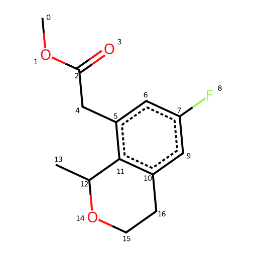 COC(=O)Cc1cc(F)cc2c1C(C)OCC2